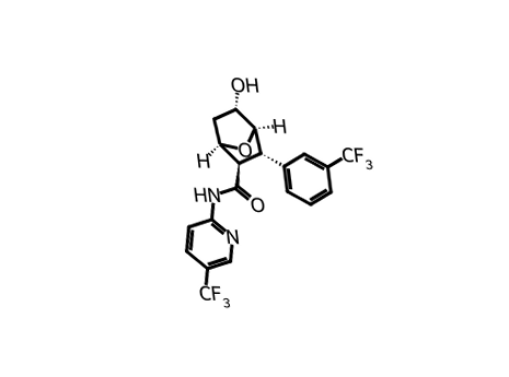 O=C(Nc1ccc(C(F)(F)F)cn1)[C@@H]1[C@@H](c2cccc(C(F)(F)F)c2)[C@H]2O[C@@H]1C[C@@H]2O